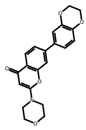 O=c1cc(N2CCOCC2)oc2cc(-c3ccc4c(c3)OCCO4)ccc12